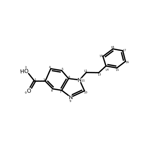 O=C(O)c1ccc2c(c1)ncn2CCc1ccccc1